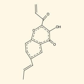 C=CC(=O)c1oc2ccc(/C=C/C)cc2c(=O)c1O